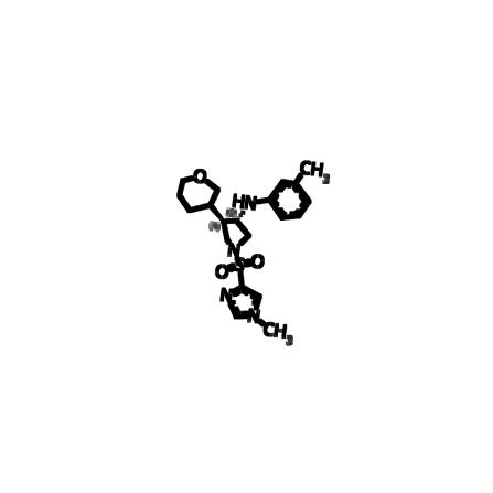 Cc1cccc(N[C@@H]2CN(S(=O)(=O)c3cn(C)cn3)C[C@H]2C2CCCOC2)c1